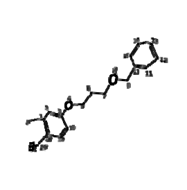 Cc1cc(OCCCOCc2ccccc2)ccc1Br